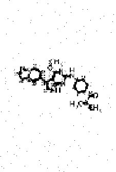 COc1nc(N[C@H]2CC[C@@H](C(=O)N(C)C)CC2)nc2[nH]cc(-c3ccn4nccc4c3)c12